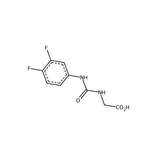 O=C(O)CNC(=O)Nc1ccc(F)c(F)c1